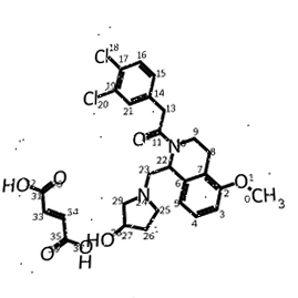 COc1cccc2c1CCN(C(=O)Cc1ccc(Cl)c(Cl)c1)C2CN1CCC(O)C1.O=C(O)C=CC(=O)O